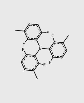 Cc1ccc(F)c(B(c2c(F)ccc(C)c2F)c2c(F)ccc(C)c2F)c1F